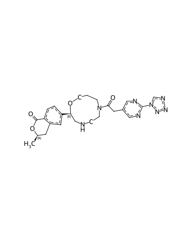 C[C@@H]1Cc2cc([C@@H]3CNCCN(C(=O)Cc4cnc(-n5cnnn5)nc4)CCCO3)ccc2C(=O)O1